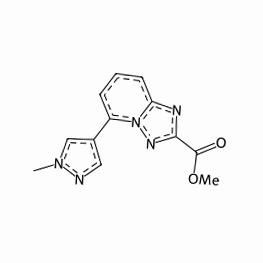 COC(=O)c1nc2cccc(-c3cnn(C)c3)n2n1